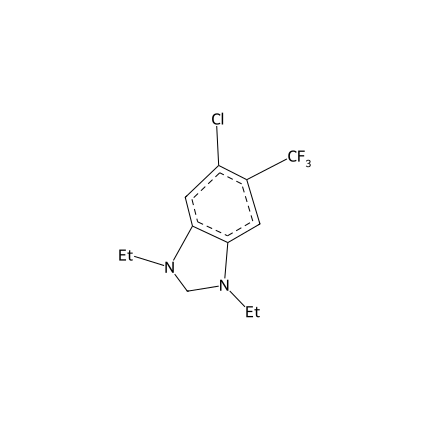 CCN1CN(CC)c2cc(C(F)(F)F)c(Cl)cc21